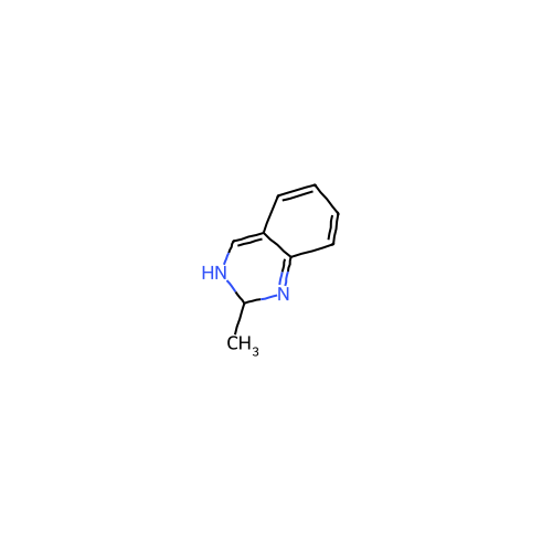 CC1N=c2ccccc2=CN1